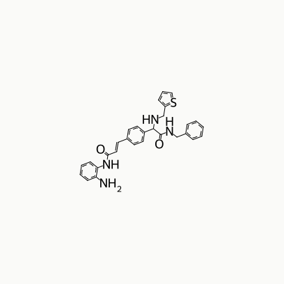 Nc1ccccc1NC(=O)C=Cc1ccc(C(NCc2cccs2)C(=O)NCc2ccccc2)cc1